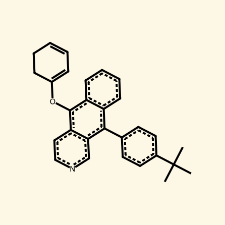 CC(C)(C)c1ccc(-c2c3ccccc3c(OC3=CC=CCC3)c3ccncc23)cc1